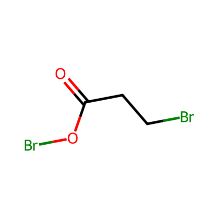 O=C(CCBr)OBr